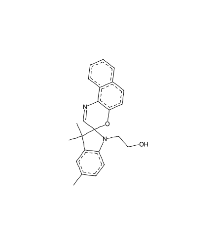 Cc1ccc2c(c1)C(C)(C)C1(C=Nc3c(ccc4ccccc34)O1)N2CCO